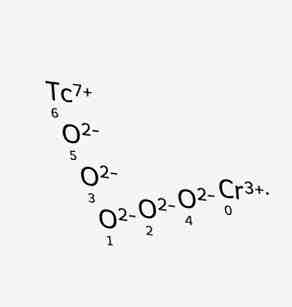 [Cr+3].[O-2].[O-2].[O-2].[O-2].[O-2].[Tc+7]